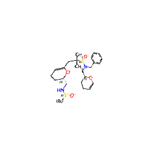 CC(C)(C)[S@+]([O-])NC[C@@H]1CCC=C(CC(C)(C)[S@+]([O-])N(Cc2ccccc2)C[C@@H]2CCC=CO2)O1